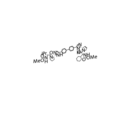 COC(=O)NC(C(=O)N1CCC[C@H]1c1ncc(-c2ccc(-c3ccc(-c4cnc([C@@H]5C=CCN5C(=O)C(NC(=O)OC)C5CCCCC5)[nH]4)cc3)cc2)[nH]1)C(C)C